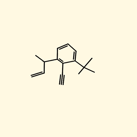 C#Cc1c([C](C)C=C)cccc1C(C)(C)C